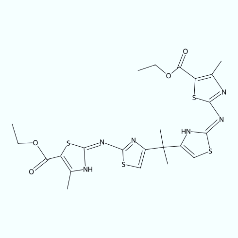 CCOC(=O)c1sc(/N=c2\[nH]c(C(C)(C)c3csc(/N=c4\[nH]c(C)c(C(=O)OCC)s4)n3)cs2)nc1C